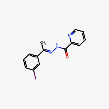 C/C(=N\NC(=O)c1ccccn1)c1cccc(I)c1